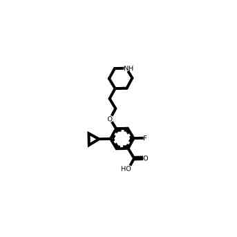 O=C(O)c1cc(C2CC2)c(OCCC2CCNCC2)cc1F